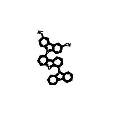 N#Cc1ccc2c(c1)c1cc(C#N)ccc1n2-c1cccc2oc3c(-n4c5ccccc5c5ccccc54)cccc3c12